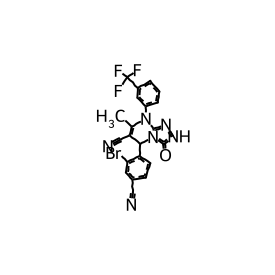 CC1=C(C#N)C(c2ccc(C#N)cc2Br)n2c(n[nH]c2=O)N1c1cccc(C(F)(F)F)c1